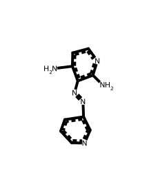 Nc1ccnc(N)c1N=Nc1cccnc1